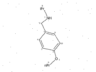 CCCOc1ccc(CNC(C)C)cc1